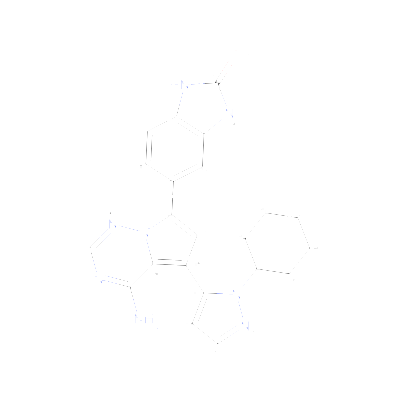 Nc1ncnn2c(-c3ccc4[nH]c(=O)[nH]c4c3)cc(-c3ccnn3C3CCCCC3)c12